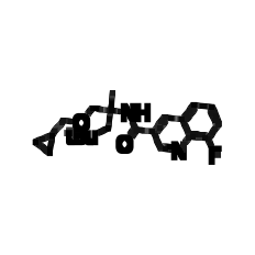 CC(C)(C)CC(C)(COCC1CC1)NC(=O)c1cnc2c(F)cccc2c1